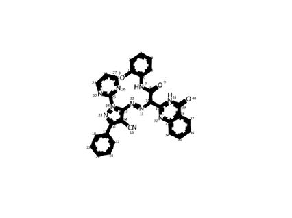 COc1ccccc1NC(=O)C(N=Nc1c(C#N)c(-c2ccccc2)nn1-c1ncccn1)c1nc2ccccc2c(=O)[nH]1